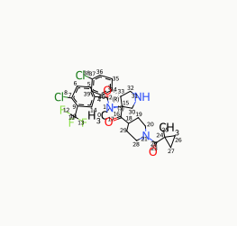 CN(C(=O)c1ccc(Cl)c(C(F)(F)F)c1)[C@]1(C(=O)C2CCN(C(=O)C3(C)CC3)CC2)CNC[C@H]1c1ccc(Cl)cc1